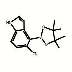 CC1(C)OB(c2c(C#N)ccc3[nH]ccc23)OC1(C)C